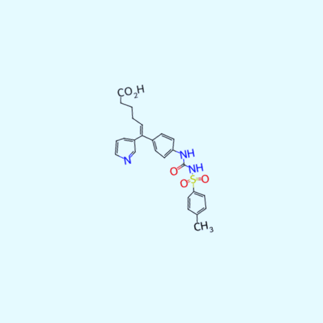 Cc1ccc(S(=O)(=O)NC(=O)Nc2ccc(/C(=C/CCCC(=O)O)c3cccnc3)cc2)cc1